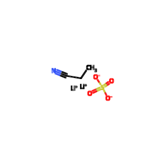 CCC#N.O=S(=O)([O-])[O-].[Li+].[Li+]